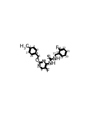 Cc1ccc(COc2ncc(F)c(NC(=S)NCc3ccccc3F)n2)cc1